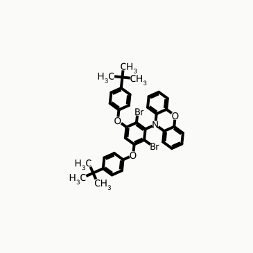 CC(C)(C)c1ccc(Oc2cc(Oc3ccc(C(C)(C)C)cc3)c(Br)c(N3c4ccccc4Oc4ccccc43)c2Br)cc1